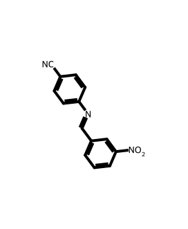 N#Cc1ccc(N=Cc2cccc([N+](=O)[O-])c2)cc1